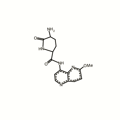 COc1ccc2nccc(NC(=O)C3CCC(N)C(=O)N3)c2n1